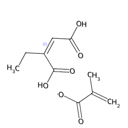 C=C(C)C([O])=O.CC/C(=C/C(=O)O)C(=O)O